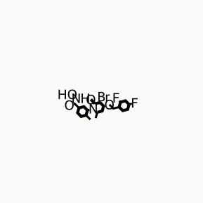 Cc1ccc(C(=O)NO)cc1-n1c(C)cc(OCc2ccc(F)cc2F)c(Br)c1=O